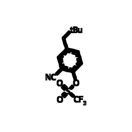 CC(C)(C)Cc1ccc(OS(=O)(=O)C(F)(F)F)c(C#N)c1